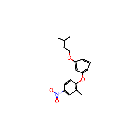 Cc1cc([N+](=O)[O-])ccc1Oc1cccc(OCCC(C)C)c1